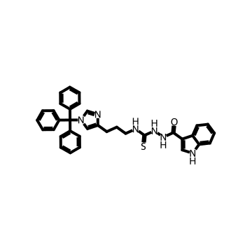 O=C(NNC(=S)NCCCc1cn(C(c2ccccc2)(c2ccccc2)c2ccccc2)cn1)c1c[nH]c2ccccc12